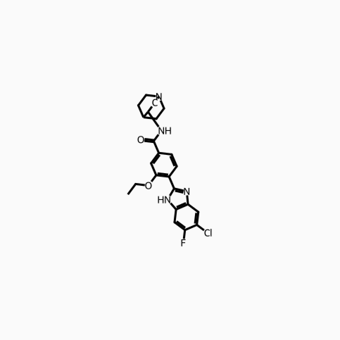 CCOc1cc(C(=O)NC2CN3CCC2CC3)ccc1-c1nc2cc(Cl)c(F)cc2[nH]1